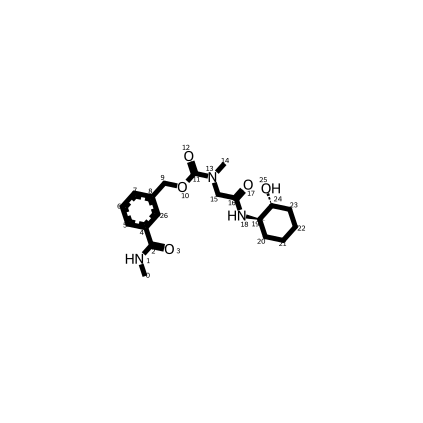 CNC(=O)c1cccc(COC(=O)N(C)CC(=O)N[C@@H]2CCCC[C@H]2O)c1